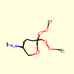 CCOOC1(OOCC)CC(N)CO1